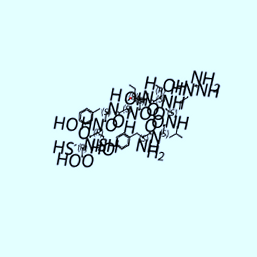 CC[C@H](C)[C@H](NC(=O)[C@@H](NC(=O)[C@H](CCCNC(=N)N)NC(=O)[C@H](CC(C)C)NC(=O)[C@@H](N)Cc1ccc(O)cc1)[C@@H](C)O)C(=O)N[C@@H](CO)C(=O)N[C@@H](Cc1ccc(O)cc1)C(=O)N[C@@H](CS)C(=O)N[C@@H](CS)C(=O)O